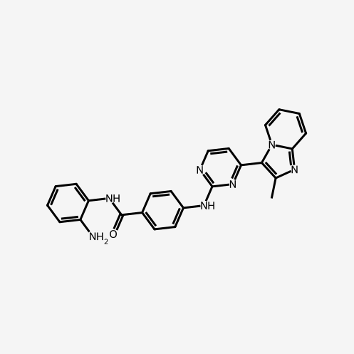 Cc1nc2ccccn2c1-c1ccnc(Nc2ccc(C(=O)Nc3ccccc3N)cc2)n1